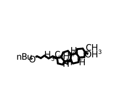 CCCCOCCCCC=C1CC[C@H]2[C@@H]3CC[C@@H]4C[C@](C)(O)CC[C@@H]4[C@H]3CC[C@]12C